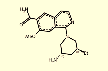 CC[C@H]1C[C@H](N)CN(c2nccc3cc(C(N)=O)c(OC)cc23)C1